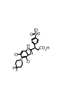 CCS(=O)(=O)c1ccc(C(CC(=O)O)C2=NC3C(Cl)=C(N4CCC(F)(F)CC4)C(Cl)=CC3N2)cc1